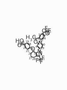 C[C@H](Oc1cc(-n2nc(C(F)(F)F)c3c2C(Oc2ccc(C(=O)O)cc2)CCC3)ccn1)c1ccc2c(c1)OC(F)(F)O2